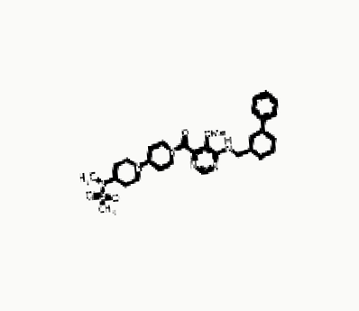 COc1c(NCC2CCCC(c3ccccc3)C2)ncnc1C(=O)N1CCC(N2CCC(N(C)S(C)(=O)=O)CC2)CC1